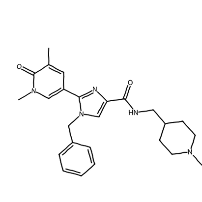 Cc1cc(-c2nc(C(=O)NCC3CCN(C)CC3)cn2Cc2ccccc2)cn(C)c1=O